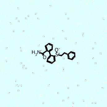 NC(=O)c1ccccc1-c1ccccc1[S+]([O-])CCc1ccccc1